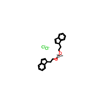 C1=CC(CC[O][Zr+2][O]CCC2C=Cc3ccccc32)c2ccccc21.[Cl-].[Cl-]